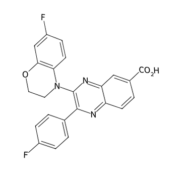 O=C(O)c1ccc2nc(-c3ccc(F)cc3)c(N3CCOc4cc(F)ccc43)nc2c1